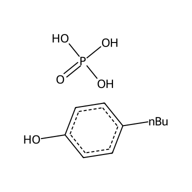 CCCCc1ccc(O)cc1.O=P(O)(O)O